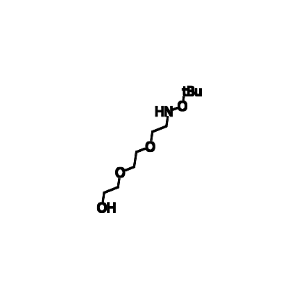 CC(C)(C)ONCCOCCOCCO